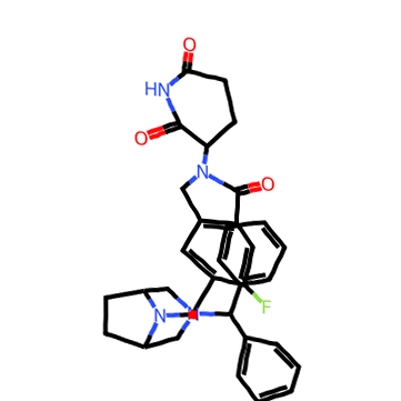 O=C1CCC(N2Cc3cc(CN4C5CCC4CN(C(c4ccccc4)c4ccccc4)C5)c(F)cc3C2=O)C(=O)N1